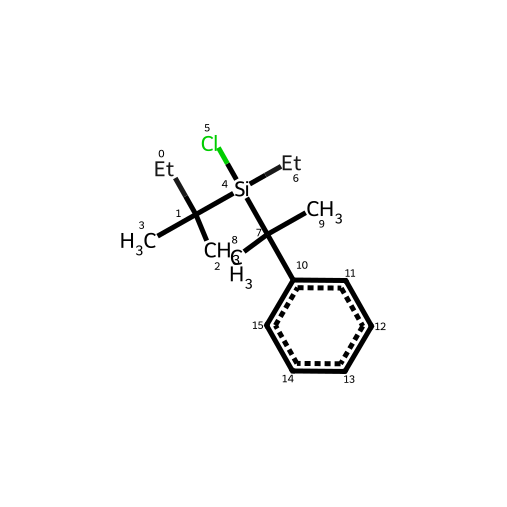 CCC(C)(C)[Si](Cl)(CC)C(C)(C)c1ccccc1